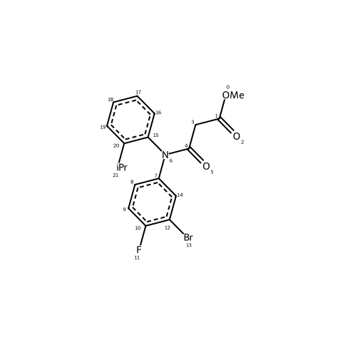 COC(=O)CC(=O)N(c1ccc(F)c(Br)c1)c1ccccc1C(C)C